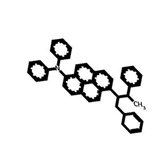 CC(c1ccccc1)C(CC1C=CC=CC1)c1ccc2ccc3c(N(c4ccccc4)c4ccccc4)ccc4ccc1c2c43